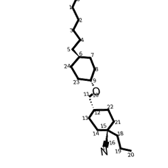 CCCCCC[C@H]1CC[C@H](OC[C@H]2CC[C@@](C#N)(CCC)CC2)CC1